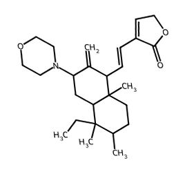 C=C1C(N2CCOCC2)CC2C(C)(CC)C(C)CCC2(C)C1/C=C/C1=CCOC1=O